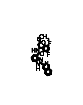 COC(=O)CC(NC(=O)c1cccc2[nH]c(-c3cc4ccccc4cn3)nc12)c1cc(F)cc(F)c1